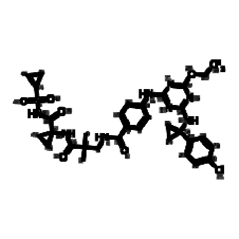 CC(C)(CNC(=O)c1ccc(Nc2nc(NC3(c4ccc(Cl)cc4)CC3)nc(OCC(F)(F)F)n2)cc1)C(=O)NC1(C(=O)NS(=O)(=O)C2CC2)CC1